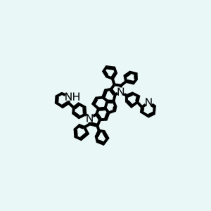 C1=CCNC(c2ccc(-n3c(-c4ccccc4)c(-c4ccccc4)c4cc5ccc6c7c(cc8ccc(c5c86)c43)C(c3ccccc3)C(c3ccccc3)N7c3ccc(-c4ccccn4)cc3)cc2)=C1